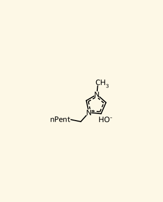 CCCCCC[n+]1ccn(C)c1.[OH-]